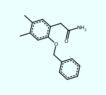 Cc1cc(CC(N)=O)c(OCc2ccccc2)cc1C